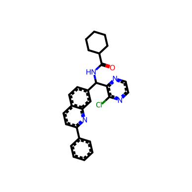 O=C(NC(c1ccc2ccc(-c3ccccc3)nc2c1)c1nccnc1Cl)C1CCCCC1